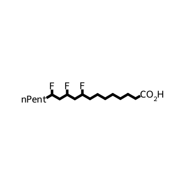 CCCCCC(F)CC(F)CC(F)CCCCCCCC(=O)O